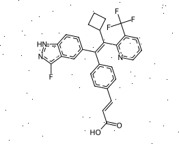 O=C(O)/C=C/c1ccc(/C(=C(\c2ncccc2C(F)(F)F)C2CCC2)c2ccc3[nH]nc(F)c3c2)cc1